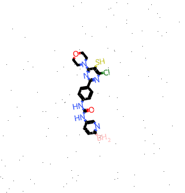 Bc1ccc(NC(=O)Nc2ccc(-c3nc(Cl)c(S)c(N4CCOCC4)n3)cc2)cn1